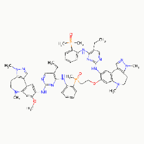 C=Cc1cnc(Nc2cc3c(cc2OC)N(C)CCc2c-3cnn2C)nc1Nc1ccccc1P(C)(=O)CCOc1cc2c(cc1Nc1ncc(CC)c(Nc3ccccc3P(C)(C)=O)n1)-c1cnn(C)c1CCN2C